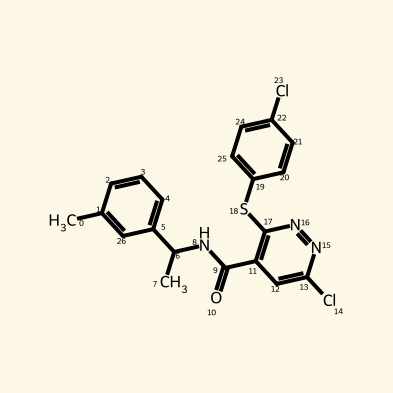 Cc1cccc(C(C)NC(=O)c2cc(Cl)nnc2Sc2ccc(Cl)cc2)c1